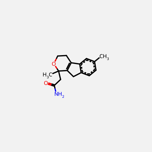 Cc1ccc2c(c1)C1=C(C2)C(C)(CC(N)=O)OCC1